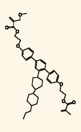 C=C(C)C(=O)OCCOc1ccc(-c2ccc(-c3ccc(OCCOC(=O)C(=C)COC)cc3)cc2C2CCC(C3CCC(CCC)CC3)CC2)cc1